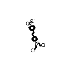 O=[N+]([O-])c1ccc(/C=C/c2ccc(N(CCCl)CCCl)cc2)cc1